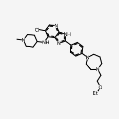 CCOCCN1CCCN(c2ccc(-c3nc4c(NC5CCN(C)CC5)c(Cl)cnc4[nH]3)cc2)CC1